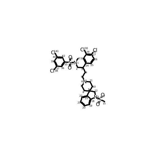 CN(CC(CCN1CCC2(CC1)CN(S(C)(=O)=O)c1ccccc12)c1ccc(Cl)c(Cl)c1)S(=O)(=O)c1cc(Cl)cc(Cl)c1